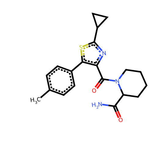 Cc1ccc(-c2sc(C3CC3)nc2C(=O)N2CCCCC2C(N)=O)cc1